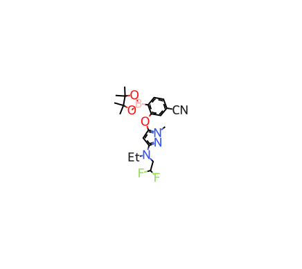 CCN(CC(F)F)c1cc(Oc2cc(C#N)ccc2B2OC(C)(C)C(C)(C)O2)n(C)n1